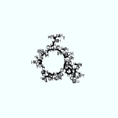 CC[C@H](C)[C@@H]1NC(=O)[C@@H](CCCNC(=N)N)NC(=O)[C@H](CC(C)C)NC(=O)[C@H]([C@H](O)C(C)C)NC(=O)[C@@H](NC(=O)[C@H](CC(C)C)NC(=O)[C@@H](CC(C)C)NC(=O)OC(C)(C)C)[C@@H](c2ccccc2)OC(=O)[C@H](CO)NC(=O)[C@H]([C@H](O)C(=O)N(C)C)NC(=O)CNC(=O)[C@H]([C@H](C)O)NC1=O